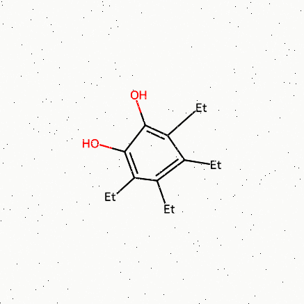 CCc1c(O)c(O)c(CC)c(CC)c1CC